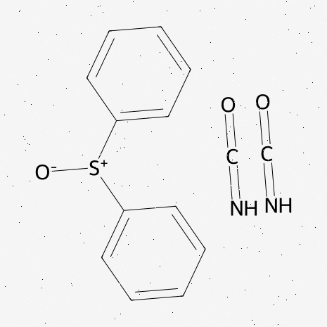 N=C=O.N=C=O.[O-][S+](c1ccccc1)c1ccccc1